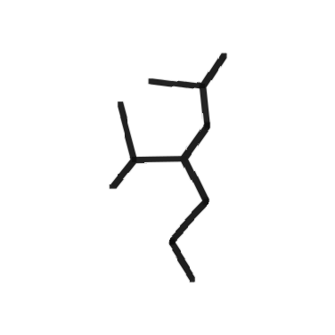 CCCC(CC(C)C)C(C)C